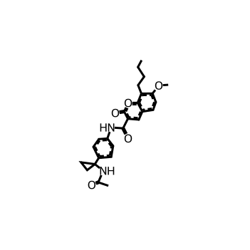 CCCCc1c(OC)ccc2cc(C(=O)Nc3ccc(C4(NC(C)=O)CC4)cc3)c(=O)oc12